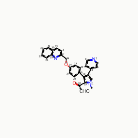 Cn1cc(-c2ccncc2)c(-c2ccc(OCc3ccc4ccccc4n3)cc2)c1C(=O)C=O